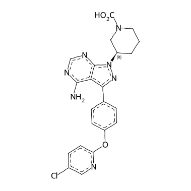 Nc1ncnc2c1c(-c1ccc(Oc3ccc(Cl)cn3)cc1)nn2[C@@H]1CCCN(C(=O)O)C1